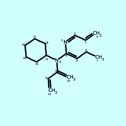 C=C/C=N\C(=C/CC)N(C(=C)C=C)C1CCCCC1